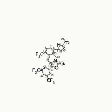 C=C(C)c1nc(-c2ccc(C(F)(F)F)cc2CN2C(=O)O[C@H](c3cc(C(F)(F)F)cc(C(F)(F)F)c3)[C@H]2C)cs1